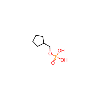 O=P(O)(O)OC[C]1CCCC1